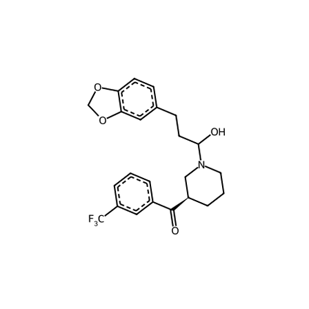 O=C(c1cccc(C(F)(F)F)c1)[C@@H]1CCCN(C(O)CCc2ccc3c(c2)OCO3)C1